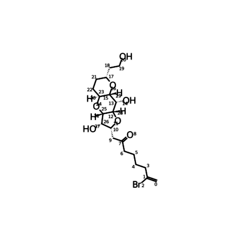 C=C(Br)CCCCC(=O)C[C@H]1O[C@H]2[C@@H](O)[C@H]3O[C@@H](CCO)CC[C@@H]3O[C@H]2[C@H]1O